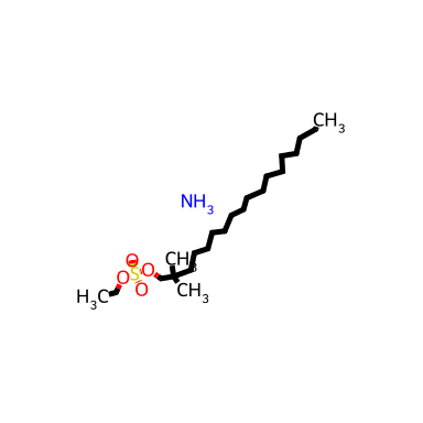 CCCCCCCCCCCCCCCCC(C)(C)COS(=O)(=O)OCC.N